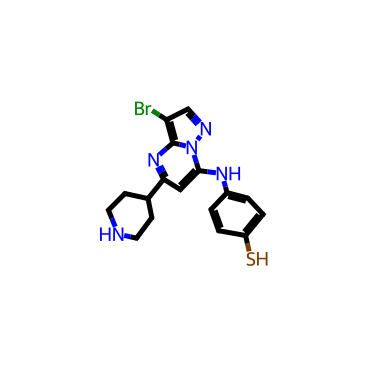 Sc1ccc(Nc2cc(C3CCNCC3)nc3c(Br)cnn23)cc1